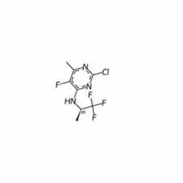 Cc1nc(Cl)nc(N[C@H](C)C(F)(F)F)c1F